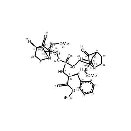 COC[C@]1(COP(=O)(N[C@@H](Cc2ccccc2)C(=O)OC(C)C)OC[C@@]2(COC)C(=O)[C@H]3CCN2[C@H](C)C3)C(=O)C2CCN1[C@H](C)C2